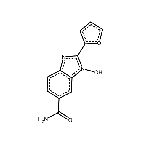 NC(=O)c1ccc2nc(-c3ccco3)n(O)c2c1